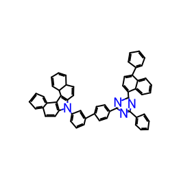 C1=CC2C=Cc3c(c4c5ccccc5ccc4n3-c3cccc(-c4ccc(-c5nc(-c6ccccc6)nc(-c6ccc(-c7ccccc7)c7ccccc67)n5)cc4)c3)C2C=C1